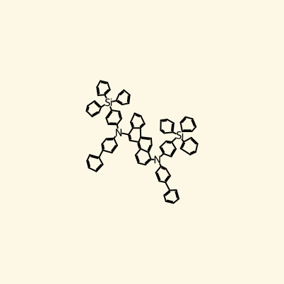 c1ccc(-c2ccc(N(c3ccc([Si](c4ccccc4)(c4ccccc4)c4ccccc4)cc3)c3cc4c5cccc(N(c6ccc(-c7ccccc7)cc6)c6ccc([Si](c7ccccc7)(c7ccccc7)c7ccccc7)cc6)c5ccc4c4ccccc34)cc2)cc1